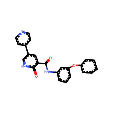 O=C(Nc1cccc(Oc2ccccc2)c1)c1cc(-c2ccncc2)c[nH]c1=O